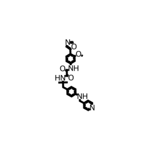 COc1cc(NC(=O)C(=O)NC(C)(C)Cc2ccc(NCc3ccncc3)cc2)ccc1-c1cnco1